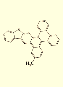 Cc1ccc2c(c1)c1cc3c(cc1c1c4ccccc4c4ccccc4c21)sc1ccccc13